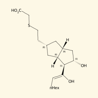 CCCCCCC=C(O)[C@H]1[C@@H]2C[C@H](CCSCC(=O)O)C[C@@H]2C[C@@H]1O